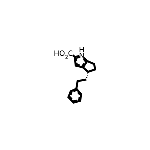 O=C(O)c1cc2c([nH]1)CC[C@@H]2CCc1ccccc1